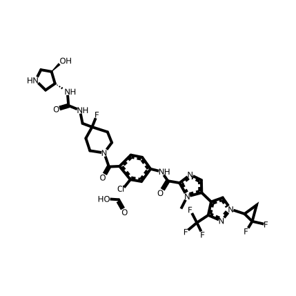 Cn1c(-c2cn(C3CC3(F)F)nc2C(F)(F)F)cnc1C(=O)Nc1ccc(C(=O)N2CCC(F)(CNC(=O)N[C@@H]3CNC[C@H]3O)CC2)c(Cl)c1.O=CO